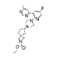 CCOC(=O)N1CC2(CC[C@@H](N3CCN(c4ncc(F)cc4-c4cc(C)ncn4)CC3)C2)C1